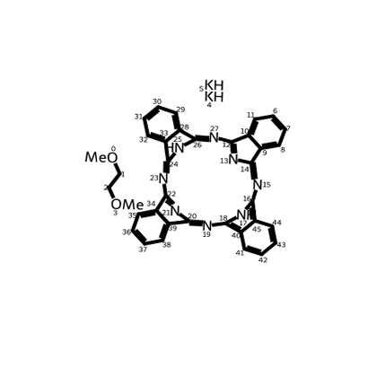 COCCOC.[KH].[KH].c1ccc2c(c1)-c1nc-2nc2[nH]c(nc3nc(nc4[nH]c(n1)c1ccccc41)-c1ccccc1-3)c1ccccc21